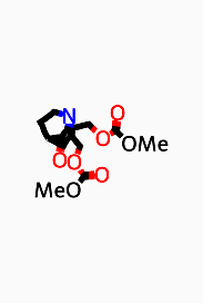 COC(=O)OCC1(COC(=O)OC)C(=O)C2CCN1CC2